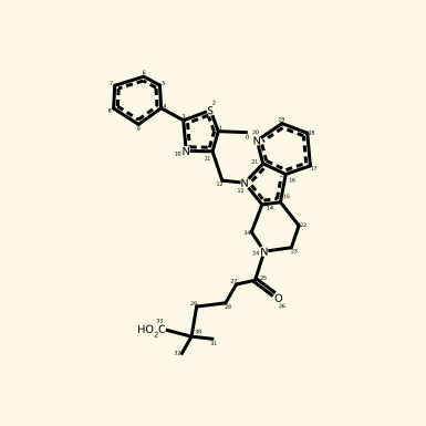 Cc1sc(-c2ccccc2)nc1Cn1c2c(c3cccnc31)CCN(C(=O)CCCC(C)(C)C(=O)O)C2